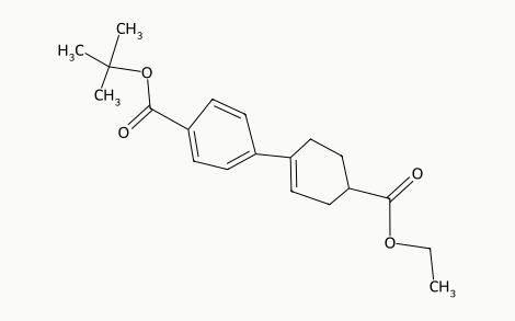 CCOC(=O)C1CC=C(c2ccc(C(=O)OC(C)(C)C)cc2)CC1